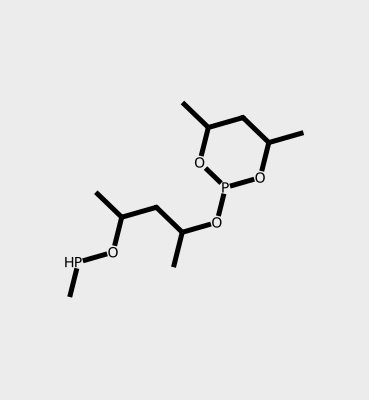 CPOC(C)CC(C)OP1OC(C)CC(C)O1